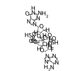 CC(C)(C)[Si](C)(C)O[C@@H]1[C@H]2COP(=O)(S)O[C@H]3[C@@H](F)[C@H](n4cnc5c(N)ncnc54)O[C@@H]3COP(=O)(S)O[C@H]1C(n1cnc3c(=O)[nH]c(N)nc31)O2